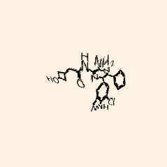 Nc1nc(-c2ccccc2)c(-c2cc(Cl)c3[nH]ncc3c2)nc1NC(=O)CC1CC(O)C1